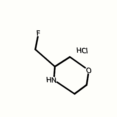 Cl.FCC1COCCN1